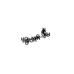 O=C(Nc1cc(CCCCc2nc3ccc(CNCC(O)c4ccc(O)c5[nH]c(=O)ccc45)cc3o2)ccc1-c1ccccc1)O[C@H]1CN2CCC1CC2